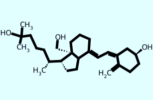 C=C1CC[C@H](O)C/C1=C/C=C1CCC[C@@]2(CO)C1CC[C@@H]2[C@H](C)CCCC(C)(C)O